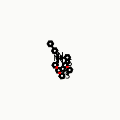 c1ccc(-c2ccc(-c3nc(-c4ccccc4)nc(-c4cccc5sc6cc7c(cc6c45)-c4ccccc4C74c5ccccc5Sc5ccccc54)n3)cc2)cc1